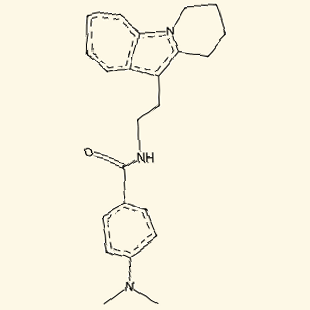 CN(C)c1ccc(C(=O)NCCc2c3n(c4ccccc24)CCCC3)cc1